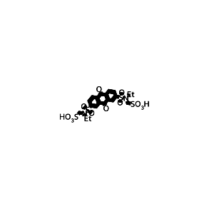 CCN(CS(=O)(=O)O)S(=O)(=O)c1ccc2c(c1)C(=O)c1cc(S(=O)(=O)N(CC)CS(=O)(=O)O)ccc1C2=O